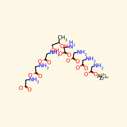 CC(O)CO.NCC(=O)[O-].NCC(=O)[O-].NCC(=O)[O-].NCC(=O)[O-].NCC(=O)[O-].NCC(=O)[O-].NCC(=O)[O-].[Al+3].[Zr+4]